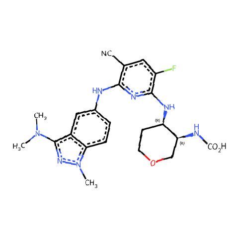 CN(C)c1nn(C)c2ccc(Nc3nc(N[C@@H]4CCOC[C@@H]4NC(=O)O)c(F)cc3C#N)cc12